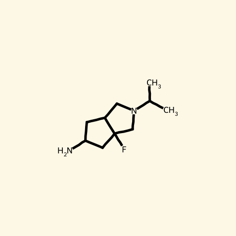 CC(C)N1CC2CC(N)CC2(F)C1